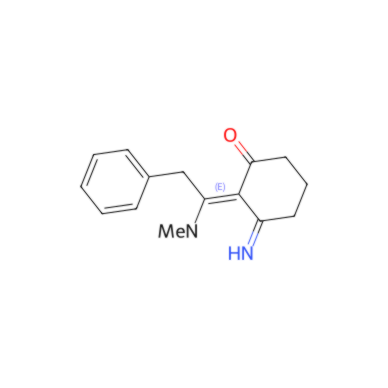 CN/C(Cc1ccccc1)=C1\C(=N)CCCC1=O